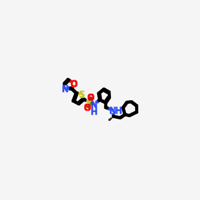 C[C@@H](CC1CCCCCC1)NCc1ccccc1NS(=O)(=O)c1ccc(-c2ncco2)s1